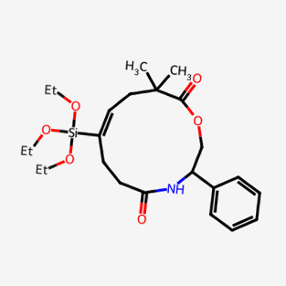 CCO[Si](OCC)(OCC)C1=CCC(C)(C)C(=O)OCC(c2ccccc2)NC(=O)CC1